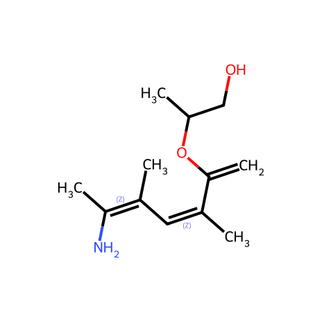 C=C(OC(C)CO)/C(C)=C\C(C)=C(\C)N